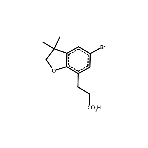 CC1(C)COc2c(CCC(=O)O)cc(Br)cc21